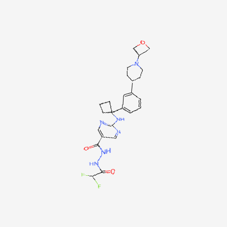 O=C(NNC(=O)C(F)F)c1cnc(NC2(c3cccc(C4CCN(C5COC5)CC4)c3)CCC2)nc1